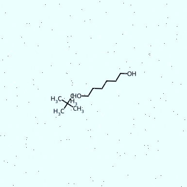 CC(C)(C)C.OCCCCCCO